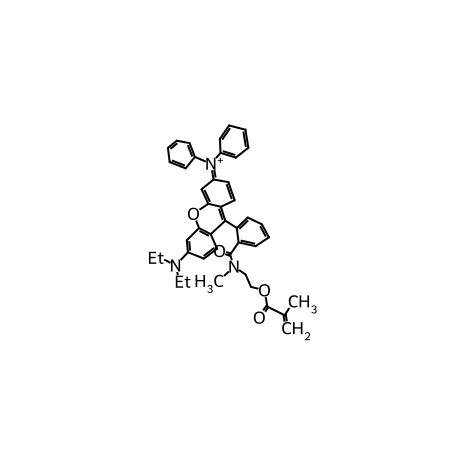 C=C(C)C(=O)OCCN(C)C(=O)c1ccccc1-c1c2ccc(=[N+](c3ccccc3)c3ccccc3)cc-2oc2cc(N(CC)CC)ccc12